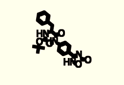 CC(C)(C)OC(=O)NC(Cc1ccccc1)C(=O)Nc1ccc(-c2nc(=O)o[nH]2)cc1